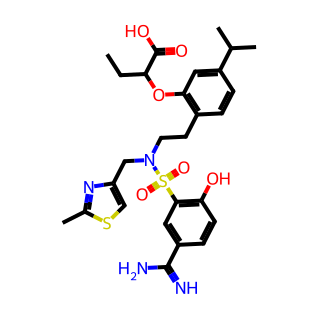 CCC(Oc1cc(C(C)C)ccc1CCN(Cc1csc(C)n1)S(=O)(=O)c1cc(C(=N)N)ccc1O)C(=O)O